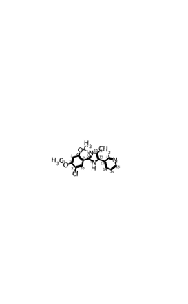 COc1cc(OC)c(-c2nc(C)c(-c3cccnc3)[nH]2)cc1Cl